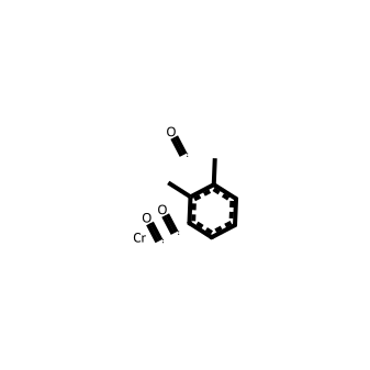 Cc1ccccc1C.[C]=O.[C]=O.[C]=O.[Cr]